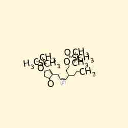 CCCC(/C=C\CC1=CC(O[Si](C)(C)C)CC1=O)CCOC(=O)[Si](C)(C)C